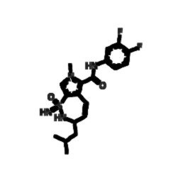 CC(C)CC1C=Cc2c(cn(C)c2C(=O)Nc2ccc(F)c(F)c2)S(=N)(=O)N1